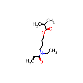 C=CC(=O)N(CC)CCCCOC(=O)C(=C)C